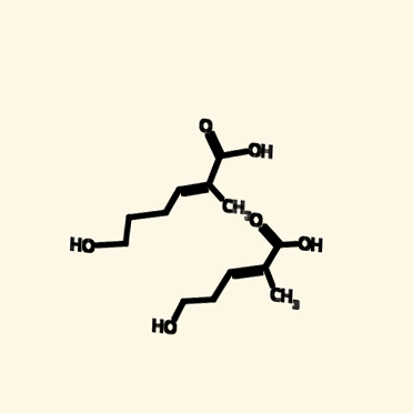 C/C(=C\CCCO)C(=O)O.C/C(=C\CCO)C(=O)O